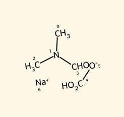 CN(C)C=O.O=C([O-])O.[Na+]